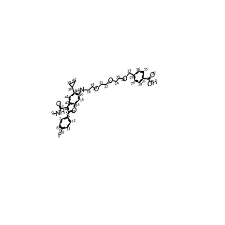 CNC(=O)c1c(-c2ccc(F)cc2)oc2cc(NCCOCCOCCOCc3ccc(C(=O)O)cc3)c(C3CC3)cc12